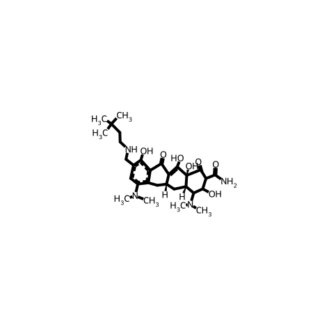 CN(C)c1cc(CNCCC(C)(C)C)c(O)c2c1C[C@H]1C[C@H]3C(N(C)C)C(O)C(C(N)=O)C(=O)[C@@]3(O)C(O)=C1C2=O